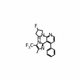 Cc1nc(-c2c(-c3ccccc3)ccnc2N2CCC(F)C2)[nH]c1C(F)(F)F